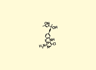 Cc1cc([C@](C)(O)C#Cc2ccc(F)c(Nc3nc(N)ncc3Cl)c2)no1